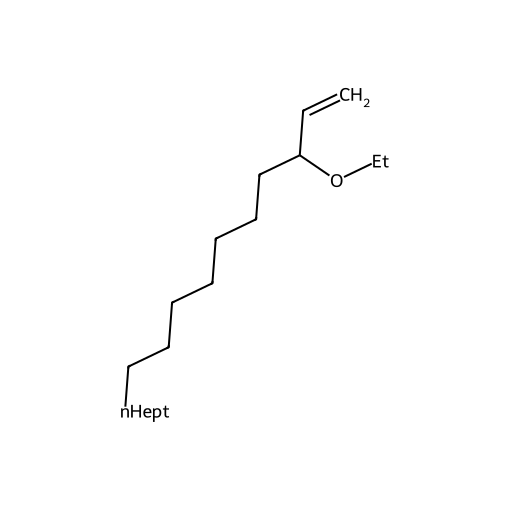 C=CC(CCCCCCCCCCCCCC)OCC